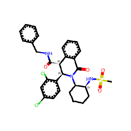 CS(=O)(=O)N[C@H]1CCCCC1N1C(=O)c2ccccc2[C@@H](C(=O)NCc2ccccc2)[C@@H]1c1ccc(Cl)cc1Cl